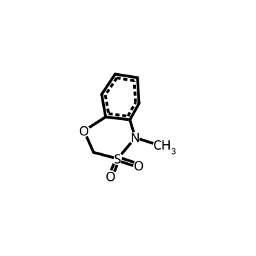 CN1c2ccccc2OCS1(=O)=O